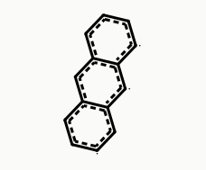 [c]1ccc2cc3ccc[c]c3[c]c2c1